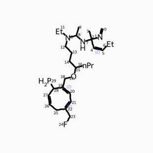 C=NC(C)(/C=C\CC)NC(C)N(CC)CCCC(CCC)OC/C1=C/C=C(/CF)CC=CC1P